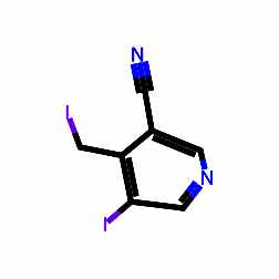 N#Cc1cncc(I)c1CI